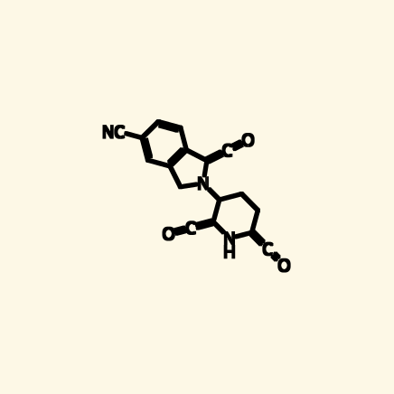 N#Cc1ccc2c(c1)CN(C1CCC(=C=O)NC1=C=O)C2=C=O